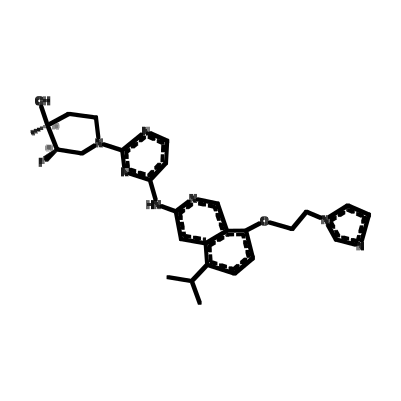 CC(C)c1ccc(OCCn2ccnc2)c2cnc(Nc3ccnc(N4CC[C@](C)(O)[C@H](F)C4)n3)cc12